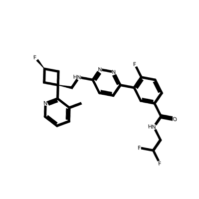 Cc1cccnc1[C@]1(CNc2ccc(-c3cc(C(=O)NCC(F)F)ccc3F)nn2)C[C@@H](F)C1